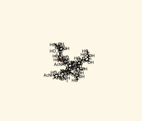 BOCC1OC(C)[C@@H](NC(C)=O)[C@@H](O)[C@@H]1OC1OC(CO)[C@@H](OC2OC(COC3OC(CO)[C@@H](O)[C@H](O)[C@H]3OC3OC(CO)[C@@H](OC4OC(COC5(C(=O)O)C[C@@H](O)[C@@H](C)C([C@@H](O)[C@H](O)CO)O5)[C@H](O)[C@H](O)[C@@H]4O)[C@H](O)[C@@H]3NC(C)=O)[C@@H](O)[C@H](O[C@@H]3OC(CO)C(O)[C@H](O)[C@@H]3OC3OC(CO)[C@@H](OC4OC(COC5(C(=O)O)C[C@@H](O)[C@@H](C)C([C@@H](O)[C@H](O)CO)O5)[C@H](O)[C@H](O)[C@@H]4O)[C@H](O)[C@@H]3NC(C)=O)[C@H]2O)[C@H](O)[C@@H]1NC(C)=O